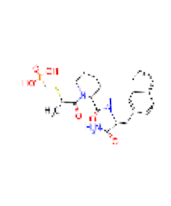 CC(SCP(=O)(O)O)C(=O)N1CCCCC1C(=O)NC(Cc1ccc2ccccc2c1)C(N)=O